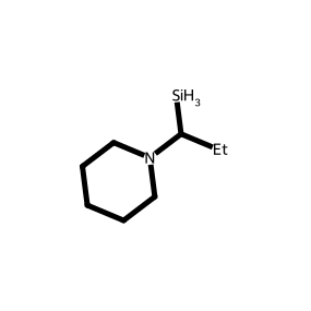 CCC([SiH3])N1CCCCC1